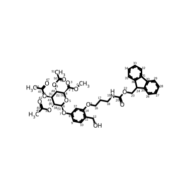 COC(=O)[C@H]1O[C@@H](Oc2ccc(CO)c(OCCCNC(=O)OCC3c4ccccc4-c4ccccc43)c2)[C@H](OC(C)=O)[C@@H](OC(C)=O)[C@@H]1OC(C)=O